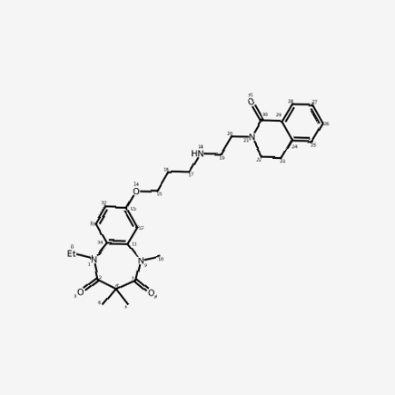 CCN1C(=O)C(C)(C)C(=O)N(C)c2cc(OCCCNCCN3CCc4ccccc4C3=O)ccc21